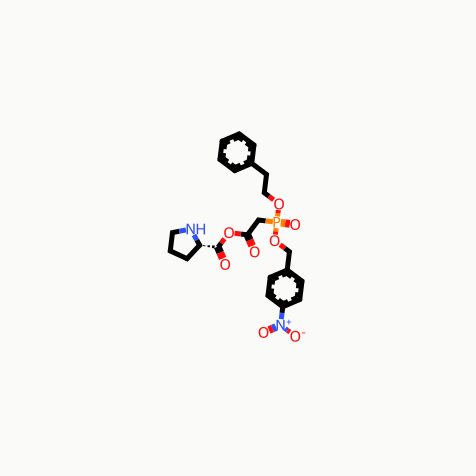 O=C(CP(=O)(OCCc1ccccc1)OCc1ccc([N+](=O)[O-])cc1)OC(=O)[C@@H]1CCCN1